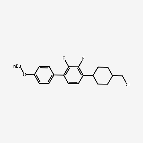 CCCCOc1ccc(-c2ccc(C3CCC(CCl)CC3)c(F)c2F)cc1